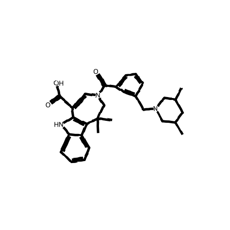 CC1CC(C)CN(Cc2cccc(C(=O)N3C=C(C(=O)O)c4[nH]c5ccccc5c4C(C)(C)C3)c2)C1